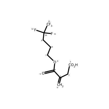 C=C(CC(=O)O)C(=O)OCCCC(F)(F)C(F)(F)F